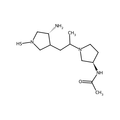 CC(=O)N[C@@H]1CCN(C(C)CC2CN(S)C[C@@H]2N)C1